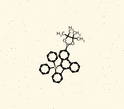 CC1(C)OB(c2ccc3c4c(c5ccccc5c3c2)-c2ccccc2[Si]4(c2ccccc2)c2ccccc2)OC1(C)C